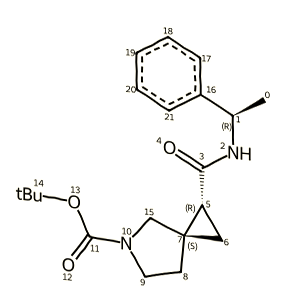 C[C@@H](NC(=O)[C@@H]1C[C@]12CCN(C(=O)OC(C)(C)C)C2)c1ccccc1